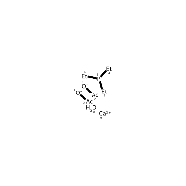 CC(=O)[O-].CC(=O)[O-].CCP(CC)CC.O.[Ca+2]